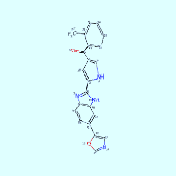 O=C(c1c[nH]c(-c2nc3ccc(-c4cnco4)cc3[nH]2)c1)c1ccccc1C(F)(F)F